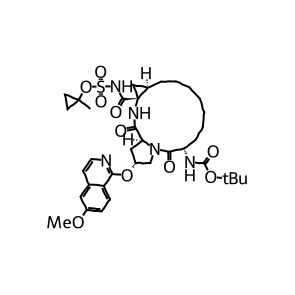 COc1ccc2c(O[C@@H]3C[C@H]4C(=O)N[C@]5(C(=O)NS(=O)(=O)OC6(C)CC6)C[C@H]5CCCCCCC[C@H](NC(=O)OC(C)(C)C)C(=O)N4C3)nccc2c1